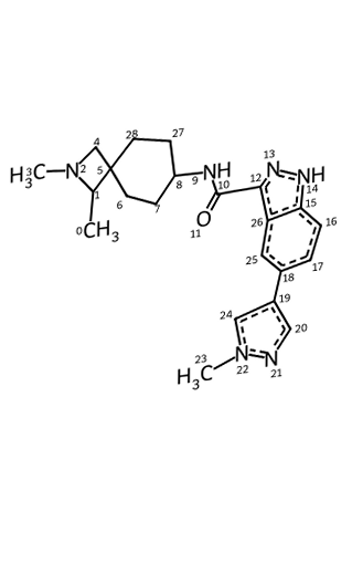 CC1N(C)CC12CCC(NC(=O)c1n[nH]c3ccc(-c4cnn(C)c4)cc13)CC2